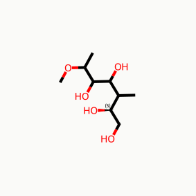 COC(C)C(O)C(O)C(C)[C@H](O)CO